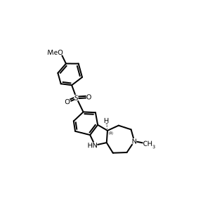 COc1ccc(S(=O)(=O)c2ccc3c(c2)[C@H]2CCN(C)CCC2N3)cc1